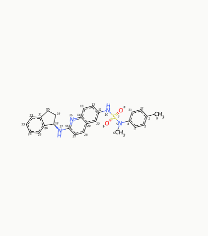 Cc1ccc(N(C)S(=O)(=O)Nc2ccc3nc(N[C@@H]4CCc5ccccc54)ccc3c2)cc1